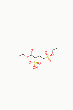 CCOC(=O)C(CCS(=O)(=O)OCC)S(=O)(=O)O